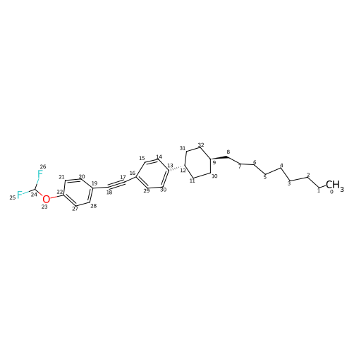 CCCCCCCCC[C@H]1CC[C@H](c2ccc(C#Cc3ccc(OC(F)F)cc3)cc2)CC1